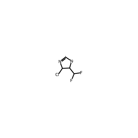 FC(F)C1[N][C]=NC1Cl